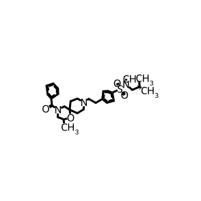 C[C](C)CN(C)S(=O)(=O)c1ccc(CCN2CCC3(CC2)CN(C(=O)c2ccccc2)CC(C)O3)cc1